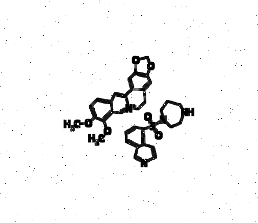 COc1ccc2cc3[n+](cc2c1OC)CCc1cc2c(cc1-3)OCO2.O=S(=O)(c1cccc2cnccc12)N1CCCNCC1